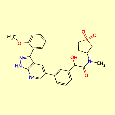 COc1ccccc1-c1n[nH]c2ncc(-c3cccc(C(O)C(=O)N(C)C4CCS(=O)(=O)C4)c3)cc12